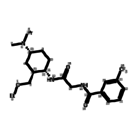 CCOC[C@H]1C[C@H](N(C)C(C)C)CC[C@@H]1NC(=O)CNC(=O)c1cccc(C(F)(F)F)c1